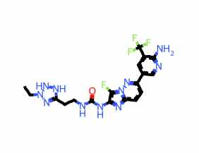 CCN1N=C(CCNC(=O)Nc2nc3ccc(-c4cnc(N)c(C(F)(F)F)c4)nn3c2F)NN1